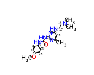 COc1ccc(NC(=O)Nc2nc(C)cc(NCCN(C)C)n2)cc1